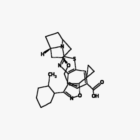 CC1CCCCC1c1noc(C2CC2)c1CO[C@@H]1CC2CC[C@@H](C1)N2c1nc2ccc(C(=O)O)cc2s1